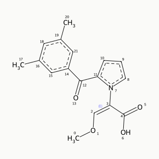 CO/C=C(\C(=O)O)n1cccc1C(=O)c1cc(C)cc(C)c1